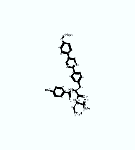 CCCCCCCOc1ccc(-c2cnc(-c3ccc(C[C@H](NC(=O)c4ccc(C(C)(C)C)cc4)C(=O)N[C@H](CC(=O)O)C(=O)NC)cc3)nc2)cc1